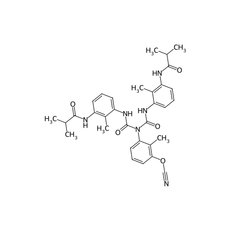 Cc1c(NC(=O)C(C)C)cccc1NC(=O)N(C(=O)Nc1cccc(NC(=O)C(C)C)c1C)c1cccc(OC#N)c1C